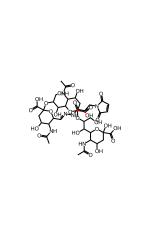 CC(=O)NC1C(O)CC(OC(CO)C(O)C2OC(OC(CO)C(O)C3OC(O)(C(=O)O)CC(O)C3NC(C)=O)(C(=O)O)CC(O)C2NC(C)=O)(C(=O)O)OC1/C=N/NC(=O)CCN1C(=O)C=CC1=O